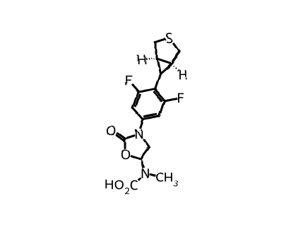 CN(C(=O)O)[C@@H]1CN(c2cc(F)c(C3[C@H]4CSC[C@@H]34)c(F)c2)C(=O)O1